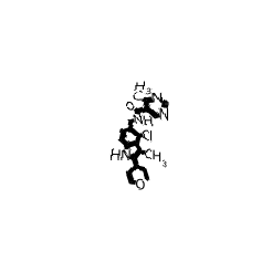 Cc1ncncc1C(=O)NCc1ccc2[nH]c(C3CCOCC3)c(C)c2c1Cl